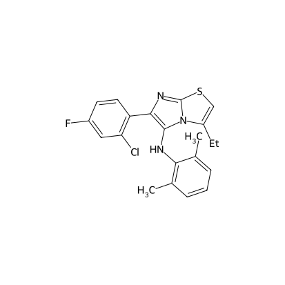 CCc1csc2nc(-c3ccc(F)cc3Cl)c(Nc3c(C)cccc3C)n12